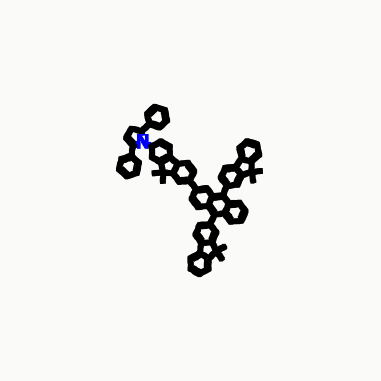 CC1(C)c2ccccc2-c2ccc(-c3c4ccccc4c(-c4ccc5c(c4)C(C)(C)c4ccccc4-5)c4cc(C5=CC6C(C=C5)C5=C(CC(N7C(c8ccccc8)=CCC7c7ccccc7)C=C5)C6(C)C)ccc34)cc21